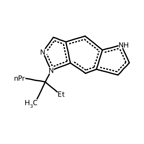 CCCC(C)(CC)n1ncc2cc3[nH]ccc3cc21